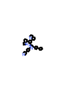 c1ccc(-c2ccc(-c3cc(-c4cc(-c5cccc6cccnc56)cc(-c5cccc6cccnc56)c4)nc(-c4ccc(-c5ccncc5)cc4)n3)cc2)cc1